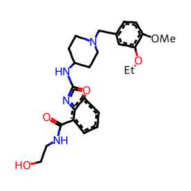 CCOc1cc(CN2CCC(Nc3nc4c(C(=O)NCCO)cccc4o3)CC2)ccc1OC